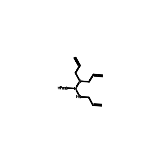 C=CCNN(CCCCC)N(CC=C)CC=C